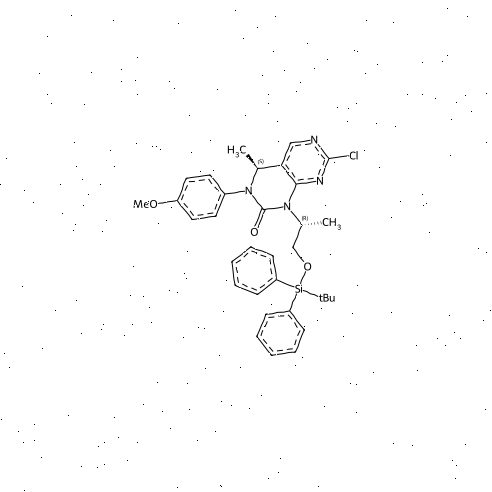 COc1ccc(N2C(=O)N([C@H](C)CO[Si](c3ccccc3)(c3ccccc3)C(C)(C)C)c3nc(Cl)ncc3[C@@H]2C)cc1